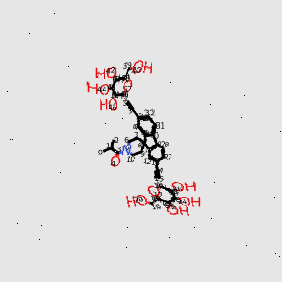 CC(C)C(=O)N1CCC2(CC1)c1cc(C#C[C@H]3O[C@H](CO)[C@@H](O)[C@H](O)[C@@H]3O)ccc1-c1ccc(C#C[C@H]3O[C@H](CO)[C@@H](O)[C@H](O)[C@@H]3O)cc12